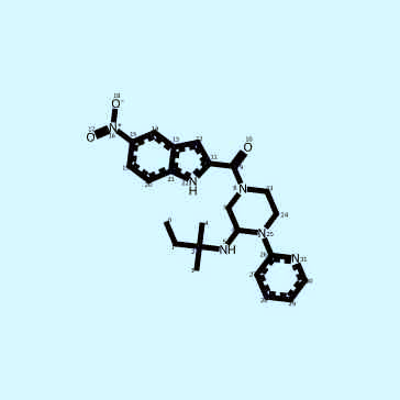 CCC(C)(C)NC1CN(C(=O)c2cc3cc([N+](=O)[O-])ccc3[nH]2)CCN1c1ccccn1